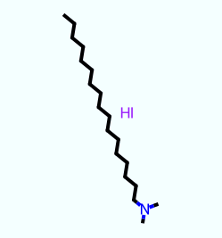 CCCCCCCCCCCCCCCCCN(C)C.I